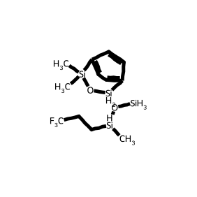 C[SiH](CCC(F)(F)F)O[SiH3].C[Si]1(C)O[SiH2]c2ccc1cc2